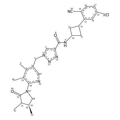 Cc1c(Cn2cc(C(=O)NC3CC(c4cc(Cl)ccc4C#N)C3)nn2)cnc(N2C[C@@H](C)C(C)C2=O)c1C